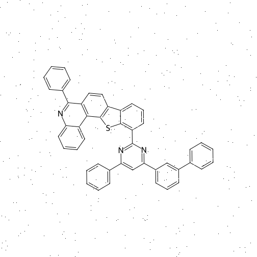 c1ccc(-c2cccc(-c3cc(-c4ccccc4)nc(-c4cccc5c4sc4c5ccc5c(-c6ccccc6)nc6ccccc6c54)n3)c2)cc1